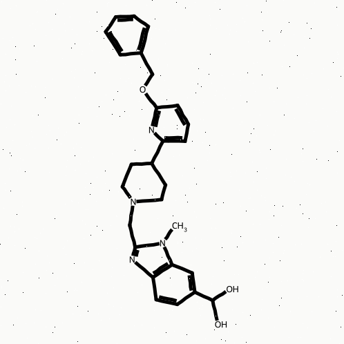 Cn1c(CN2CCC(c3cccc(OCc4ccccc4)n3)CC2)nc2ccc(C(O)O)cc21